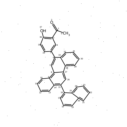 CC(=O)c1cc(-c2cc3c4ccccc4c(-c4cccc5ccccc45)cc3c3ccccc23)ccc1O